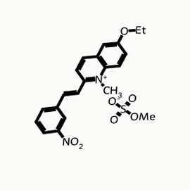 CCOc1ccc2c(ccc(/C=C/c3cccc([N+](=O)[O-])c3)[n+]2C)c1.COS(=O)(=O)[O-]